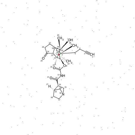 C#CCC[C@]1(C)C[C@@H](OC(=O)NC(=O)[C@H]2CN3CC[C@@H]2C3)[C@@]2(I)C3C(=O)CCC3(CC[C@H]2C)[C@@H](C)[C@@H]1O